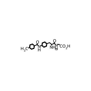 Cc1ccc(C(=O)Nc2ccc(CC(N)C(=O)NCC(=O)O)cc2)cc1